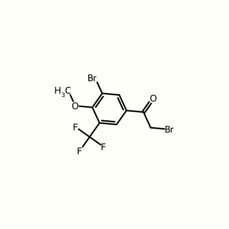 COc1c(Br)cc(C(=O)CBr)cc1C(F)(F)F